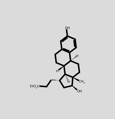 CCOC(=O)CC[C@H]1C[C@H](O)[C@@]2(C)CC[C@@H]3c4ccc(O)cc4CC[C@H]3[C@H]12